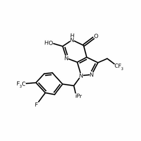 CC(C)C(c1ccc(C(F)(F)F)c(F)c1)n1nc(CC(F)(F)F)c2c(=O)[nH]c(O)nc21